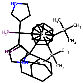 C[Si](C)(C)[C]12[CH]3[C]4(C(P)(C5CCNC5)C5CCNC5)[C]5(C6(CP)C7CC8CC(C7)CC6C8)[C]1([Si](C)(C)C)[Fe]34521678[CH]2[CH]1[CH]6[CH]7[CH]28